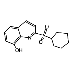 O=S(=O)(c1ccc2cccc(O)c2n1)C1CCCCC1